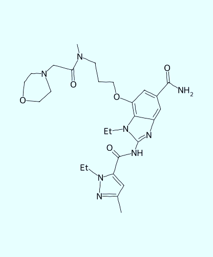 CCn1nc(C)cc1C(=O)Nc1nc2cc(C(N)=O)cc(OCCCN(C)C(=O)CN3CCOCC3)c2n1CC